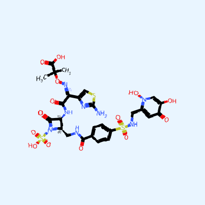 CC(C)(O/N=C(\C(=O)N[C@@H]1C(=O)N(S(=O)(=O)O)[C@@H]1CNC(=O)c1ccc(S(=O)(=O)NCc2cc(=O)c(O)cn2O)cc1)c1csc(N)n1)C(=O)O